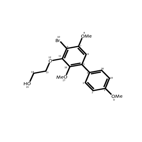 COc1ccc(-c2cc(OC)c(Br)c(OCCO)c2OC)cc1